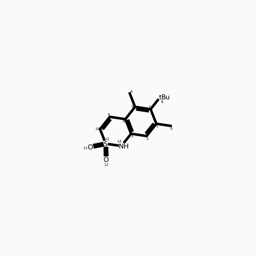 Cc1cc2c(c(C)c1C(C)(C)C)C=CS(=O)(=O)N2